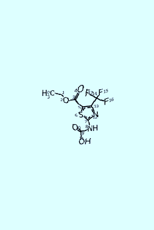 CCOC(=O)c1sc(NC(=O)O)nc1C(F)(F)F